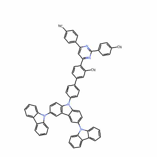 N#Cc1ccc(-c2cc(-c3ccc(-c4ccc(-n5c6ccc(-n7c8ccccc8c8ccccc87)cc6c6cc(-n7c8ccccc8c8ccccc87)ccc65)cc4)cc3C#N)nc(-c3ccc(C#N)cc3)n2)cc1